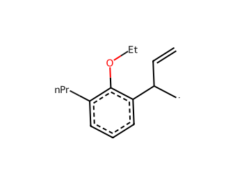 [CH2]C(C=C)c1cccc(CCC)c1OCC